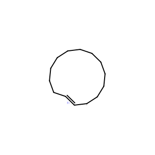 [CH]1/C=C/CCCCCCCCCCC1